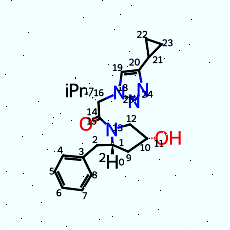 [2H][C@]1(Cc2ccccc2)C[C@@H](O)CN1C(=O)[C@H](C(C)C)n1cc(C2CC2)nn1